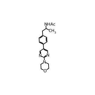 CC(=O)NC(C)Cc1ccc(-c2cnc(N3CCOCC3)nc2)cc1